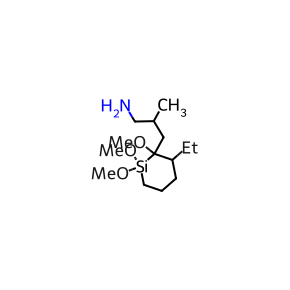 CCC1CCC[Si](OC)(OC)C1(CC(C)CN)OC